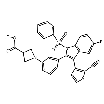 COC(=O)C1CN(c2cccc(-c3c(-c4ccsc4C#N)c4cc(F)ccc4n3S(=O)(=O)c3ccccc3)c2)C1